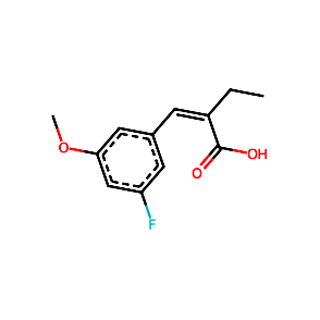 CCC(=Cc1cc(F)cc(OC)c1)C(=O)O